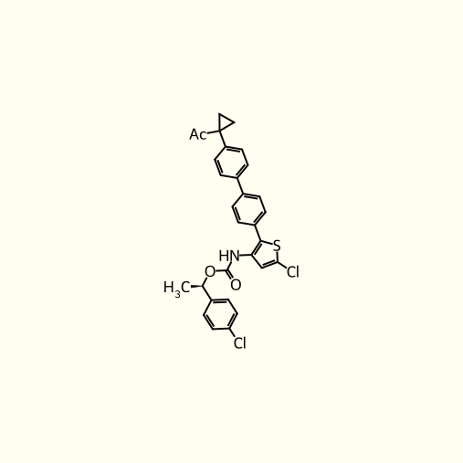 CC(=O)C1(c2ccc(-c3ccc(-c4sc(Cl)cc4NC(=O)O[C@H](C)c4ccc(Cl)cc4)cc3)cc2)CC1